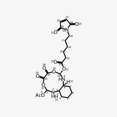 CC(=O)OC1N[C@@H]2CCCC[C@H]2N[C@H](OC(=O)CCCCCN2C(=O)C=CC2=O)OC(=O)C(=O)O1